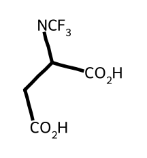 O=C(O)CC(NC(F)(F)F)C(=O)O